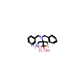 NCC1(N(Cc2ccccc2)Cc2ccccc2)CSC1(O)O